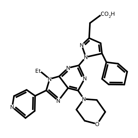 CCn1c(-c2ccncc2)nc2c(N3CCOCC3)nc(-n3nc(CC(=O)O)cc3-c3ccccc3)nc21